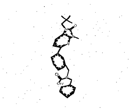 Cn1c(=O)n(CC(C)(C)C)c2ccc(-c3cccc(CN(Cc4ccccc4)C(=O)O)c3)nc21